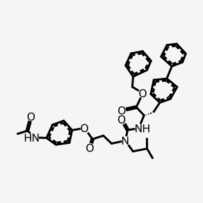 CC(=O)Nc1ccc(OC(=O)CCN(CC(C)C)C(=O)N[C@@H](Cc2ccc(-c3ccccc3)cc2)C(=O)OCc2ccccc2)cc1